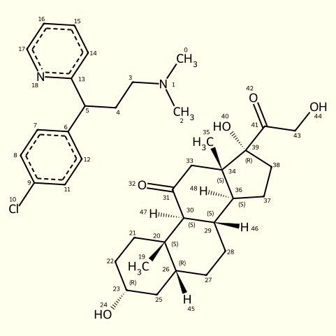 CN(C)CCC(c1ccc(Cl)cc1)c1ccccn1.C[C@]12CC[C@@H](O)C[C@H]1CC[C@@H]1[C@@H]2C(=O)C[C@@]2(C)[C@H]1CC[C@]2(O)C(=O)CO